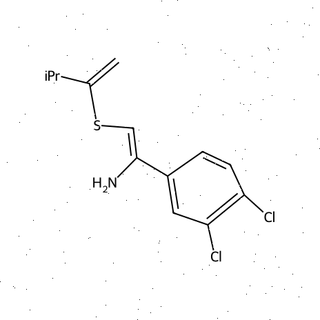 C=C(S/C=C(\N)c1ccc(Cl)c(Cl)c1)C(C)C